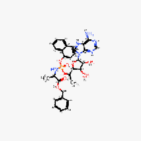 CC(NP(=O)(Oc1cccc2ccccc12)OC(C)[C@H]1O[C@@H](n2cnc3c(N)ncnc32)C(O)C1O)C(=O)OCc1ccccc1